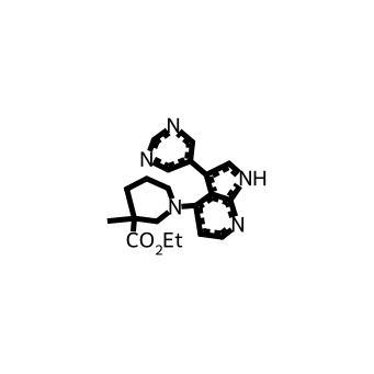 CCOC(=O)C1(C)CCCN(c2ccnc3[nH]cc(-c4cncnc4)c23)C1